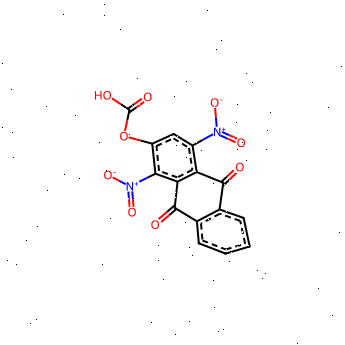 O=C(O)Oc1cc([N+](=O)[O-])c2c(c1[N+](=O)[O-])C(=O)c1ccccc1C2=O